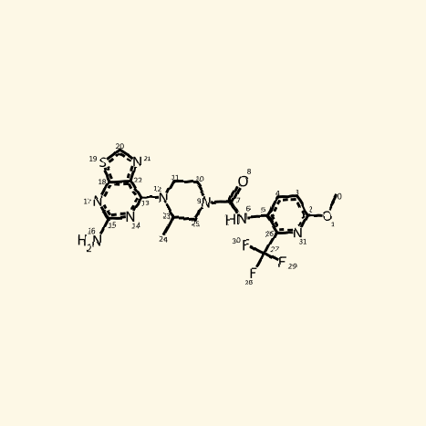 COc1ccc(NC(=O)N2CCN(c3nc(N)nc4scnc34)C(C)C2)c(C(F)(F)F)n1